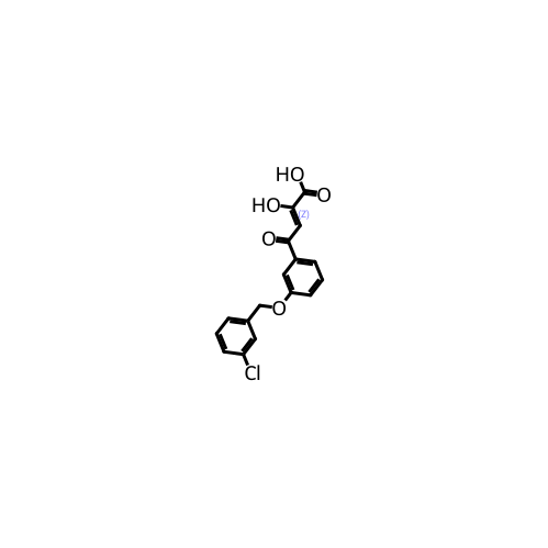 O=C(O)/C(O)=C/C(=O)c1cccc(OCc2cccc(Cl)c2)c1